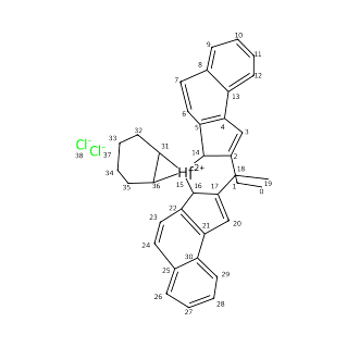 CCC1=Cc2c(ccc3ccccc23)[CH]1[Hf+2]1([CH]2C(CC)=Cc3c2ccc2ccccc32)[CH]2CCCC[CH]21.[Cl-].[Cl-]